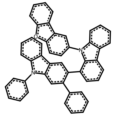 c1ccc(-c2cc3c(cc2-c2cccc4c5ccccc5n(-c5ccc6oc7ccccc7c6c5)c24)c2ccccc2n3-c2ccccc2)cc1